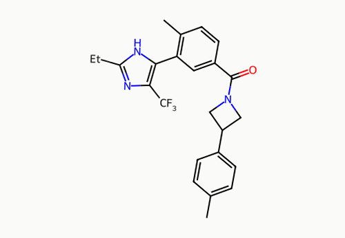 CCc1nc(C(F)(F)F)c(-c2cc(C(=O)N3CC(c4ccc(C)cc4)C3)ccc2C)[nH]1